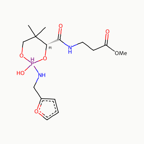 COC(=O)CCNC(=O)[C@@H]1O[PH](O)(NCc2ccco2)OCC1(C)C